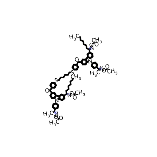 CCCCCCC/C(=N\OC(C)=O)c1ccc2c(c1)c1cc(C(=O)c3ccc(SCCCCCCSc4ccc(C(=O)c5ccc6c(c5)c5cc(/C(CCCCCCC)=N/OC(C)=O)ccc5n6-c5ccc(/C(C)=N/OC(C)=O)cc5)cc4)cc3)ccc1n2-c1ccc(/C(C)=N/OC(C)=O)cc1